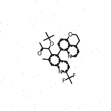 CC(=O)C(OC(C)(C)C)c1c(C)cc2nc(C(C)(F)F)ccc2c1-c1ccc2c3c(ccnc13)CCO2